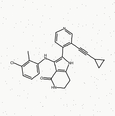 Cc1c(Cl)cccc1Nc1c(-c2ccncc2C#CC2CC2)[nH]c2c1C(=O)NCC2